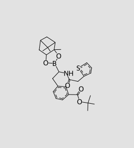 CC(C)(C)OC(=O)c1cccc(CC(NC(=O)Cc2cccs2)B2OC3CC4CC(C4(C)C)C3(C)O2)c1